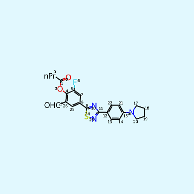 CCCC(=O)Oc1c(F)cc(-c2nc(-c3ccc(N4CCCC4)cc3)ns2)cc1C=O